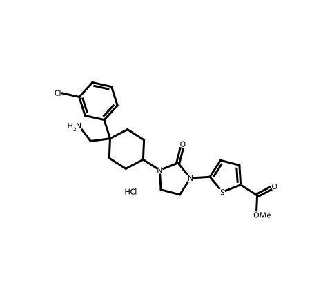 COC(=O)c1ccc(N2CCN(C3CCC(CN)(c4cccc(Cl)c4)CC3)C2=O)s1.Cl